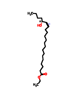 CCCC[C@@H](O)/C=C\CCCCCCCCCCCCCC(=O)OCC